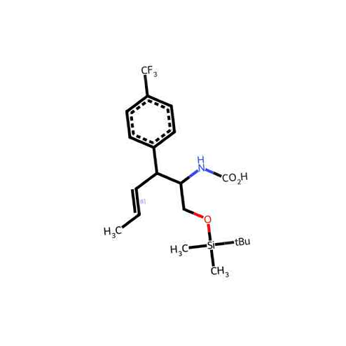 C/C=C/C(c1ccc(C(F)(F)F)cc1)C(CO[Si](C)(C)C(C)(C)C)NC(=O)O